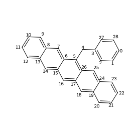 c1ccc(Cc2c3cc4ccccc4cc3cc3cc4ccccc4cc23)cc1